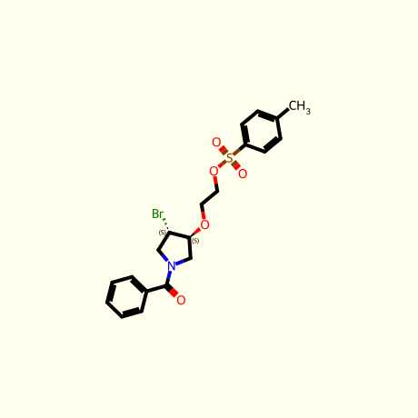 Cc1ccc(S(=O)(=O)OCCO[C@H]2CN(C(=O)c3ccccc3)C[C@@H]2Br)cc1